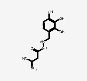 NC(O)CC(=O)NNCc1ccc(O)c(O)c1O